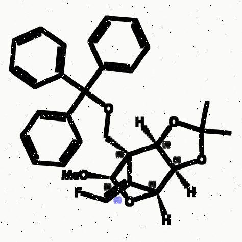 CO[C@H]1O[C@H]2/C(=C/F)[C@]1(COC(c1ccccc1)(c1ccccc1)c1ccccc1)[C@H]1OC(C)(C)O[C@@H]21